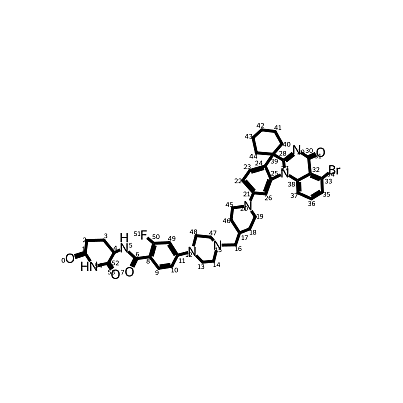 O=C1CCC(NC(=O)c2ccc(N3CCN(CC4CCN(c5ccc6c(c5)-n5c(nc(=O)c7c(Br)cccc75)C65CCCCC5)CC4)CC3)cc2F)C(=O)N1